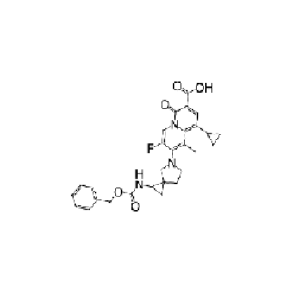 Cc1c(N2CCC3(CC3NC(=O)OCc3ccccc3)C2)c(F)cn2c(=O)c(C(=O)O)cc(C3CC3)c12